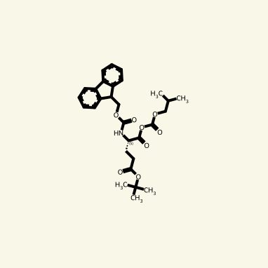 CC(C)COC(=O)OC(=O)[C@H](CCC(=O)OC(C)(C)C)NC(=O)OCC1c2ccccc2-c2ccccc21